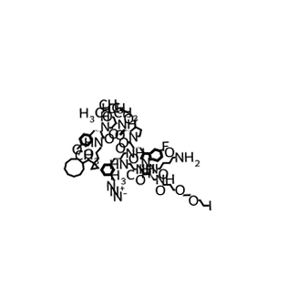 C#CCOCC1CCN(C(=O)[C@H](Cc2c[nH]c3ccc(F)cc23)NC(=O)[C@H](Cc2cccc(CN=[N+]=[N-])c2)NC(=O)[C@@H](C)NC(=O)[C@H](CNC(=O)CCOCCOCCI)NC(=O)CCC(N)=O)[C@@H]1C(=O)N[C@H](C(=O)N[C@@H](Cc1ccc(OC)cc1)C(=O)NCCCC1(C(=O)C2CCCCCCCC2)CC1)C(C)OC(C)(C)C